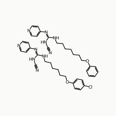 N#CNC(=Nc1ccncc1)NCCCCCCCOc1ccccc1.N#CNC(=Nc1ccncc1)NCCCCCCOc1ccc(Cl)cc1